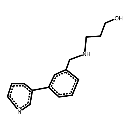 OCCCNCc1cccc(-c2c[c]cnc2)c1